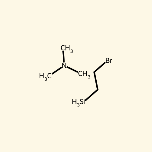 CN(C)C.[SiH3]CCBr